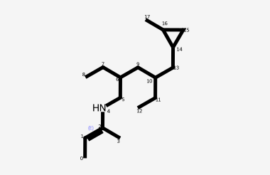 C/C=C(\C)NCC(CC)CC(CC)CC1CC1C